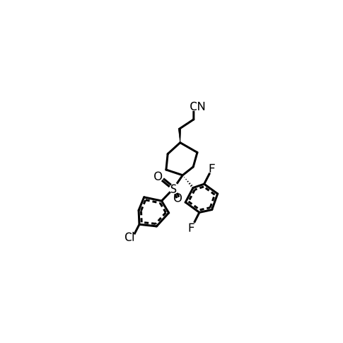 N#CCC[C@H]1CC[C@@](c2cc(F)ccc2F)(S(=O)(=O)c2ccc(Cl)cc2)CC1